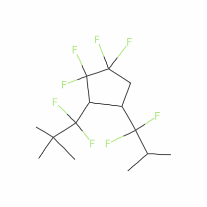 CC(C)C(F)(F)C1CC(F)(F)C(F)(F)C1C(F)(F)C(C)(C)C